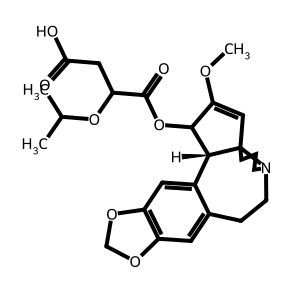 COC1=CC23CCCN2CCc2cc4c(cc2[C@@H]3C1OC(=O)C(CC(=O)O)OC(C)C)OCO4